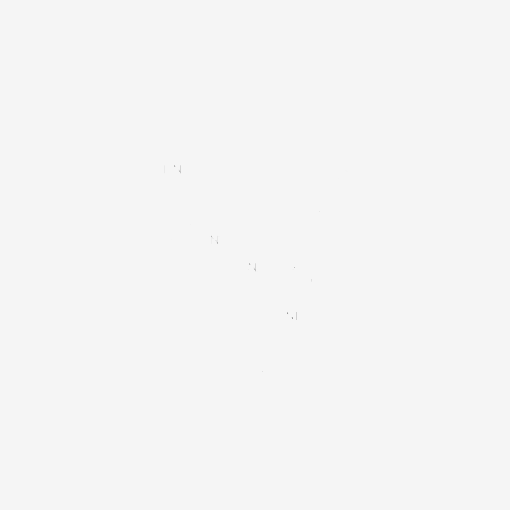 O=C(CCOCc1ccccc1)C(C1CCc2ccccc2N1)N1CCN(c2cccc3[nH]ccc23)CC1